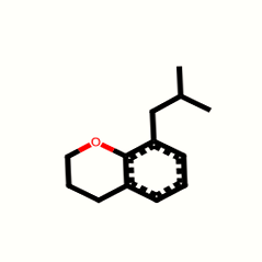 CC(C)Cc1cccc2c1OCCC2